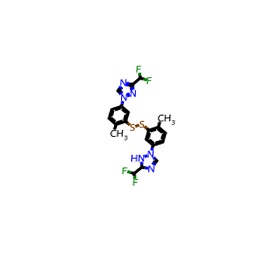 Cc1ccc(N2C=NC(C(F)F)N2)cc1SSc1cc(-n2cnc(C(F)F)n2)ccc1C